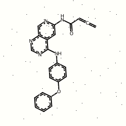 C=C=CC(=O)Nc1cc2c(Nc3ccc(Oc4ccccc4)cc3)ncnc2cn1